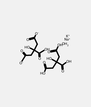 O.O=C(O)CC(O)(CC(=O)O)C(=O)O.O=C([O-])CC(O)(CC(=O)[O-])C(=O)O.[K+].[Na+]